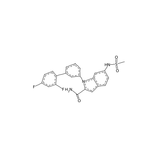 CS(=O)(=O)Nc1ccc2cc(C(N)=O)n(-c3cccc(-c4ccc(F)cc4F)c3)c2c1